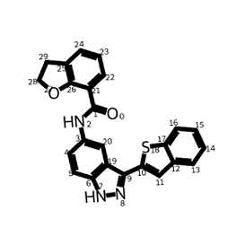 O=C(Nc1ccc2[nH]nc(-c3cc4ccccc4s3)c2c1)c1cccc2c1OCC2